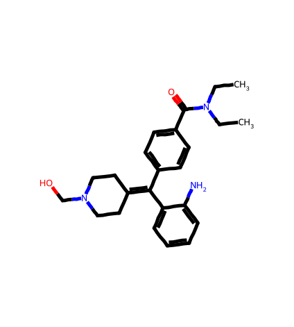 CCN(CC)C(=O)c1ccc(C(=C2CCN(CO)CC2)c2ccccc2N)cc1